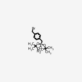 CC(C)(C)OP(=O)(Cc1ccc(CBr)cc1)OC(C)(C)C